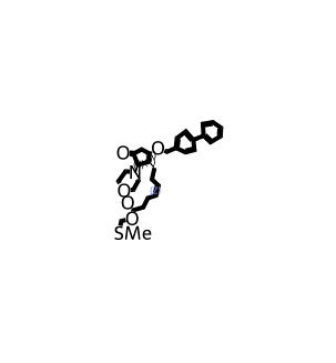 CSCOC(=O)CC/C=C\CC[C@H]1[C@@H](OCc2ccc(-c3ccccc3)cc2)CC(=O)[C@@H]1N1CCOCC1